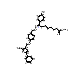 COC(=O)CCCCCC/C(=N\OCc1ccc(OCc2nc(-c3ccccc3)oc2C)cc1)c1ccc(F)cc1